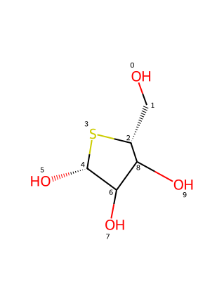 OC[C@H]1S[C@@H](O)C(O)C1O